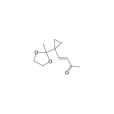 CC(=O)C=CC1(C2(C)OCCO2)CC1